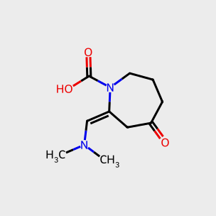 CN(C)C=C1CC(=O)CCCN1C(=O)O